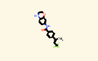 C/C(=C\C(F)(F)F)c1ccc(C(=O)Nc2ccc3c(c2)OCCN3)cc1